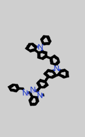 C=N/C(=N\C(=N/Cc1ccccc1)c1ccccc1)c1ccc(-c2ccc3c(c2)c2ccccc2n3-c2cccc(-c3ccc4c5ccccc5n(-c5ccccc5)c4c3)c2)cc1